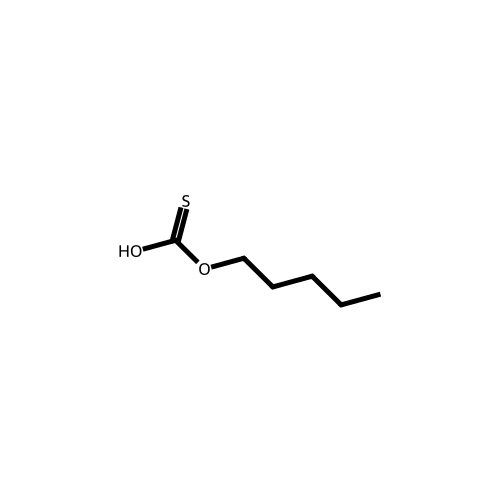 CCCCCOC(O)=S